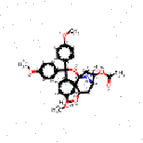 COc1ccc(C(OC23CC(OC)CC(C(OC(C)=O)C2)[N+]3(C)C)(c2ccc(OC)cc2)c2ccc(OC)cc2)cc1